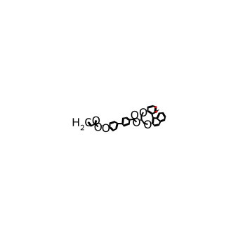 C=CC(=O)OCOc1ccc(-c2ccc(C(=O)OC3COc4ccc5ccccc5c4-c4c(ccc5ccccc45)OC3)cc2)cc1